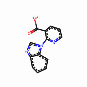 O=C(O)c1cccnc1-n1cnc2ccccc21